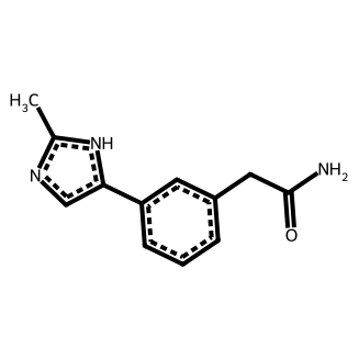 Cc1ncc(-c2cccc(CC(N)=O)c2)[nH]1